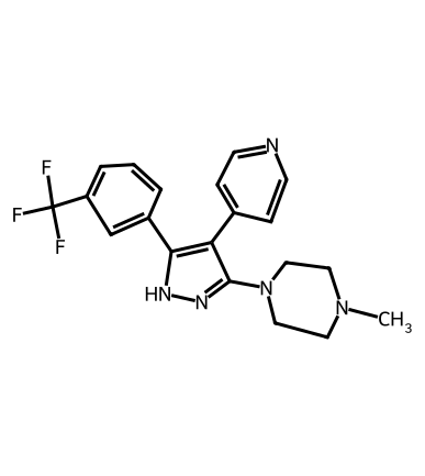 CN1CCN(c2n[nH]c(-c3cccc(C(F)(F)F)c3)c2-c2ccncc2)CC1